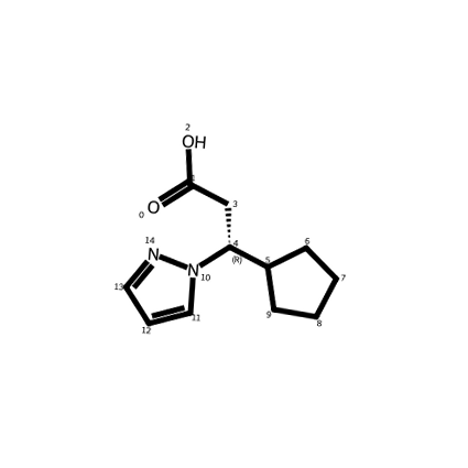 O=C(O)C[C@H](C1CCCC1)n1cccn1